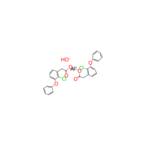 O=C(Cc1cccc(Oc2ccccc2)c1Cl)[O][Al+][O]C(=O)Cc1cccc(Oc2ccccc2)c1Cl.[OH-]